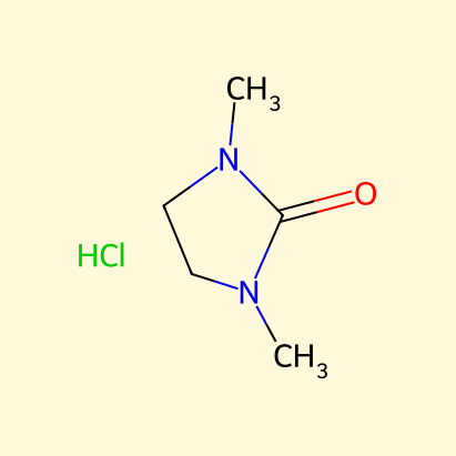 CN1CCN(C)C1=O.Cl